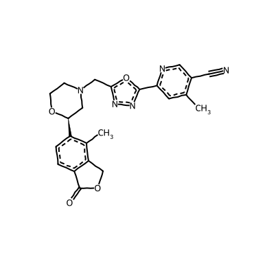 Cc1cc(-c2nnc(CN3CCO[C@H](c4ccc5c(c4C)COC5=O)C3)o2)ncc1C#N